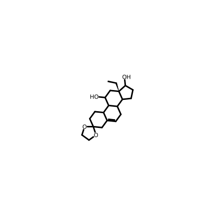 CC[C@]12CC(O)C3C4CCC5(CC4=CCC3C1CCC2O)OCCO5